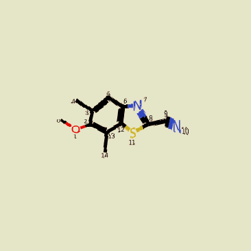 COc1c(C)cc2nc(C#N)sc2c1C